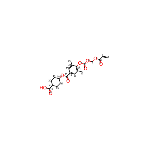 C=CC(=O)OCOC(=O)Oc1c(C)cc(C(=O)OC2CCC(C(=O)O)CC2)cc1C